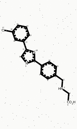 O=C(O)CNCc1ccc(-c2ncc(-c3cccc(Cl)c3)s2)cc1